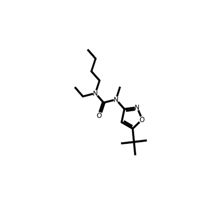 CCCCN(CC)C(=O)N(C)c1cc(C(C)(C)C)on1